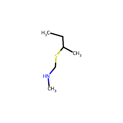 CCC(C)SCNC